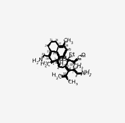 C=C(/C(C)=C/C(=C(/CCN)C(=C)C)[C@@](S)(CC)C(C)=C=O)/C(CN)=C1/CCCc2c(C)ccc(C)c21